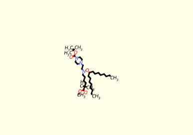 CCCCCCCCC(CCCCCCCC)ON(CCCCC(C)(C)C(=O)OC)CCN1CCN(C(=O)OC(C)(C)C)CC1